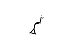 CC(=O)C=CC1CC1